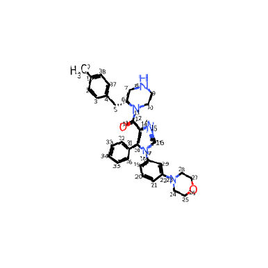 Cc1ccc(C[C@@H]2CNCCN2C(=O)c2ncn(-c3cccc(N4CCOCC4)c3)c2-c2ccccc2)cc1